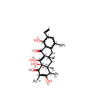 C=Cc1cc(C(C)C)c2c(c1O)C(=O)C1=C(O)[C@@]3(O)C(=O)C(C(C)=O)=C(O)C(C(C)C)[C@@]3(C)C[C@@]1(C)C2